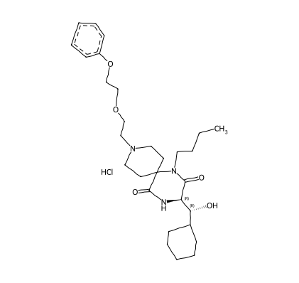 CCCCN1C(=O)[C@@H]([C@H](O)C2CCCCC2)NC(=O)C12CCN(CCOCCOc1ccccc1)CC2.Cl